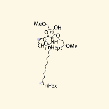 C/C=C\O[C@H]1OC(COC)[C@@H](O)C(OCCC(CCCCCCC)OC)[C@H]1NC(=O)CCCCCCCCC/C=C\CCCCCC